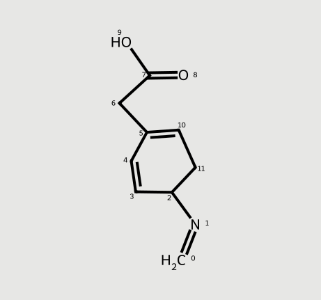 C=NC1C=CC(CC(=O)O)=CC1